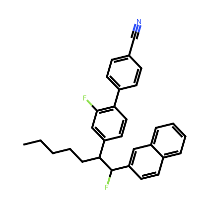 CCCCCC(c1ccc(-c2ccc(C#N)cc2)c(F)c1)C(F)c1ccc2ccccc2c1